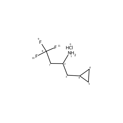 Cl.NC(CC1CC1)CC(F)(F)F